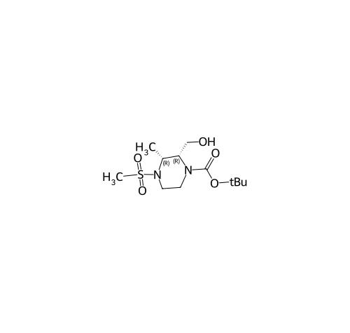 C[C@@H]1[C@H](CO)N(C(=O)OC(C)(C)C)CCN1S(C)(=O)=O